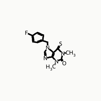 Cn1c(=S)c2c(ncn2Cc2ccc(F)cc2)n(C)c1=O